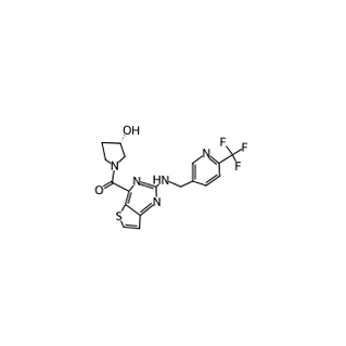 O=C(c1nc(NCc2ccc(C(F)(F)F)nc2)nc2ccsc12)N1CC[C@H](O)C1